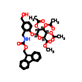 COC(=O)[C@H]1O[C@@H](Oc2ccc(CO)cc2CNC(=O)OCC2c3ccccc3-c3ccccc32)[C@H](OC(C)=O)[C@@H](OC(C)=O)[C@@H]1OC(C)=O